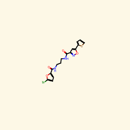 O=C(NCCCNC(=O)c1ccc(Br)o1)c1cc(-c2cccs2)on1